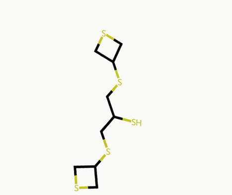 SC(CSC1CSC1)CSC1CSC1